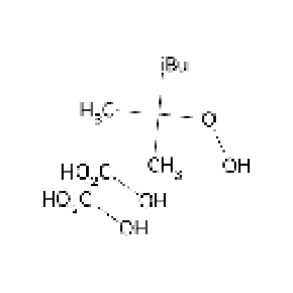 CCC(C)C(C)(C)OO.O=C(O)O.O=C(O)O